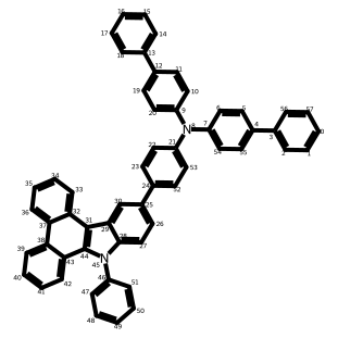 c1ccc(-c2ccc(N(c3ccc(-c4ccccc4)cc3)c3ccc(-c4ccc5c(c4)c4c6ccccc6c6ccccc6c4n5-c4ccccc4)cc3)cc2)cc1